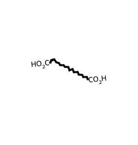 O=C(O)C/C=C\CCCCCCCCCCCCCCCC(=O)O